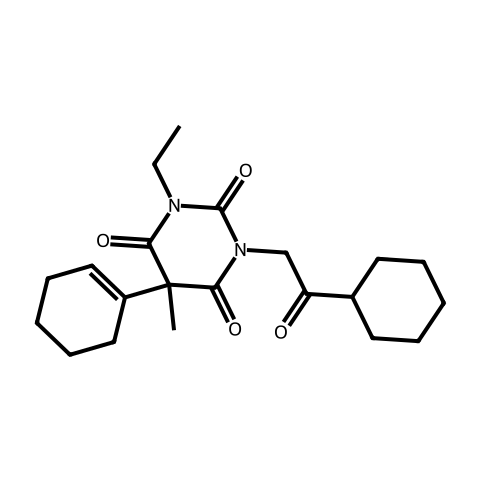 CCN1C(=O)N(CC(=O)C2CCCCC2)C(=O)C(C)(C2=CCCCC2)C1=O